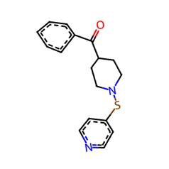 O=C(c1ccccc1)C1CCN(Sc2ccncc2)CC1